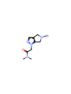 CC(C)N1Cc2cnn(CC(=O)N(C)C)c2C1